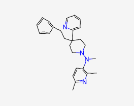 Cc1ccc(N(C)N2CCC(CCc3ccccc3)(c3ccccn3)CC2)c(C)n1